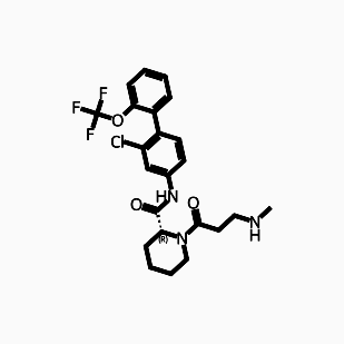 CNCCC(=O)N1CCCC[C@@H]1C(=O)Nc1ccc(-c2ccccc2OC(F)(F)F)c(Cl)c1